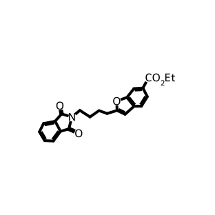 CCOC(=O)c1ccc2cc(CCCCN3C(=O)c4ccccc4C3=O)oc2c1